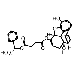 O=C(CCC(=O)O[C@H](C(=O)O)c1ccccc1)OC1=CC[C@@]2(O)[C@@H]3CCC[C@@]24c2c(ccc(O)c2O[C@@H]14)C3